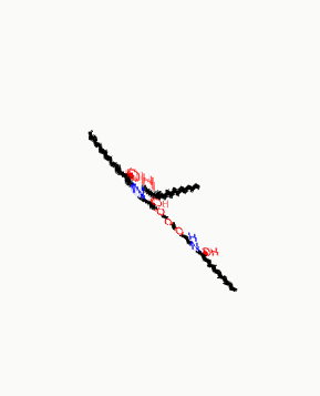 CCCCCCCCCCCCC(O)CNCCCOCCOCCOCCCN(CC(O)CCCCCCCCCCCC)CC(O)CCCCCCCCCCCC